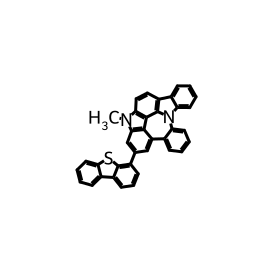 Cn1c2cc(-c3cccc4c3sc3ccccc34)cc3c4ccccc4n4c5ccccc5c5ccc1c(c32)c54